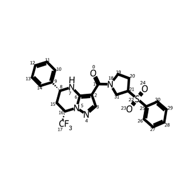 O=C(c1cnn2c1N[C@@H](c1ccccc1)C[C@H]2C(F)(F)F)N1CCC(S(=O)(=O)c2ccccc2)C1